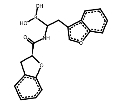 O=C(NC(Cc1coc2ccccc12)B(O)O)[C@@H]1Cc2ccccc2O1